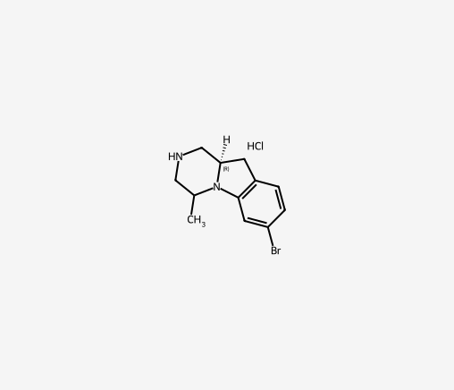 CC1CNC[C@H]2Cc3ccc(Br)cc3N12.Cl